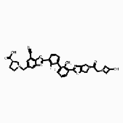 Cc1c(-c2nc3c(o2)CN(C(=O)CN2CC(O)C2)C3)cccc1-c1cccc(-c2nc3cc(CN4CC[C@@H](C(=O)O)C4)cc(C#N)c3o2)c1C